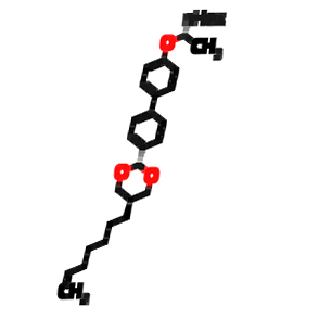 C=CCCCCC[C@H]1CO[C@H](c2ccc(-c3ccc(O[C@@H](C)CCCCCC)cc3)cc2)OC1